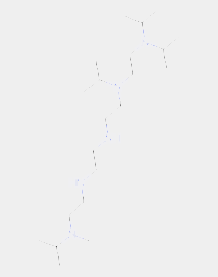 CC(C)N(C)CCNCCNCCN(CCN(C(C)C)C(C)C)C(C)C